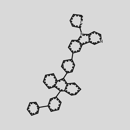 c1ccc(-c2cccc(-c3c4ccccc4c(-c4ccc(-c5ccc6c(c5)c5cnccc5n6-c5ccccc5)cc4)c4ccccc34)c2)cc1